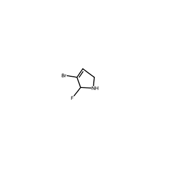 FC1NCC=C1Br